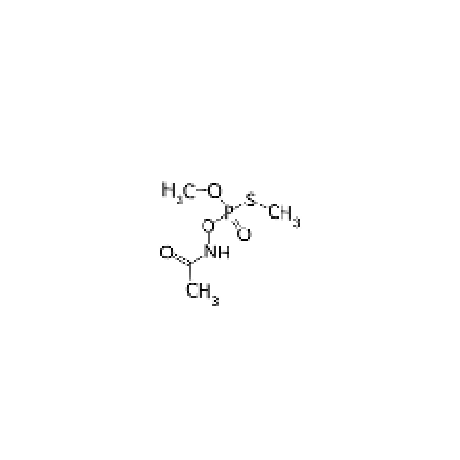 COP(=O)(ONC(C)=O)SC